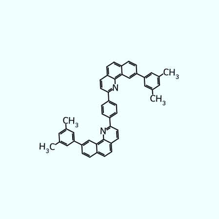 Cc1cc(C)cc(-c2ccc3ccc4ccc(-c5ccc(-c6ccc7ccc8ccc(-c9cc(C)cc(C)c9)cc8c7n6)cc5)nc4c3c2)c1